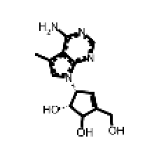 Cc1cn([C@@H]2C=C(CO)C(O)[C@@H]2O)c2ncnc(N)c12